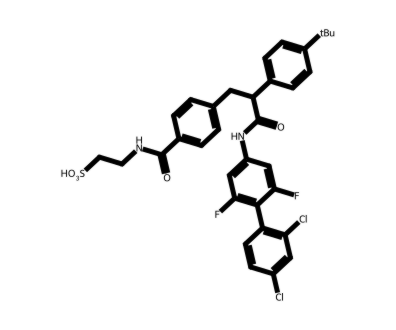 CC(C)(C)c1ccc(C(Cc2ccc(C(=O)NCCS(=O)(=O)O)cc2)C(=O)Nc2cc(F)c(-c3ccc(Cl)cc3Cl)c(F)c2)cc1